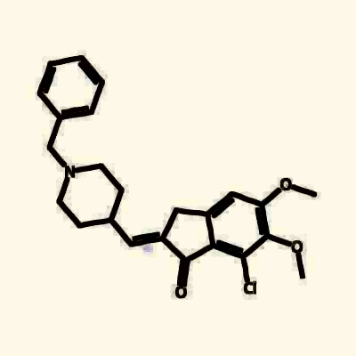 COc1cc2c(c(Cl)c1OC)C(=O)/C(=C/C1CCN(Cc3ccccc3)CC1)C2